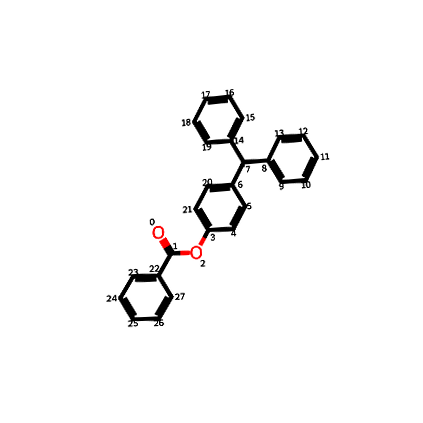 O=C(Oc1ccc([C](c2ccccc2)c2ccccc2)cc1)c1ccccc1